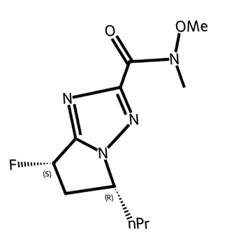 CCC[C@@H]1C[C@H](F)c2nc(C(=O)N(C)OC)nn21